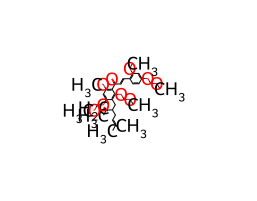 C=C(C)C(CC=C(C)C)Cc1c(OCOC)cc(OC)c(C(=O)/C=C/c2ccc(OCOC)cc2OC)c1OCOC